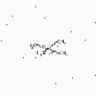 C=CCOC([SiH3])=C(OCC=C)OCC=C